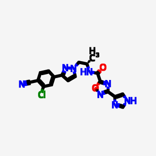 C[C@@H](Cn1ccc(-c2ccc(C#N)c(Cl)c2)n1)NC(=O)c1nc(-c2c[nH]cn2)no1